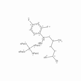 CCCCC[B-](CCCCC)(CCCCC)CCCCC.CCCC[NH+](CC(C)CCC(CC)CCC)c1ccc(F)cc1F